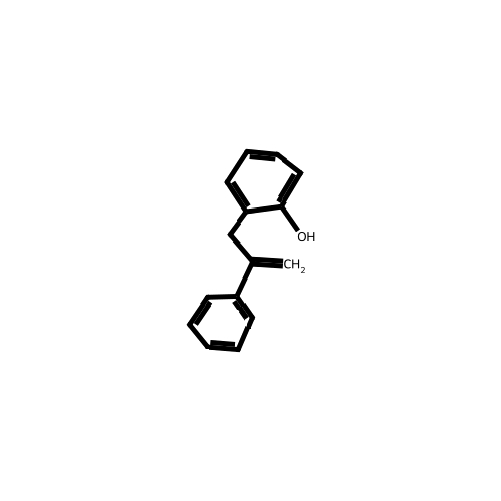 C=C(Cc1ccccc1O)c1ccccc1